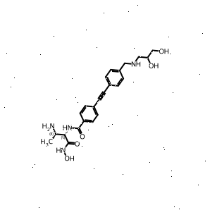 C[C@@H](N)[C@H](NC(=O)c1ccc(C#Cc2ccc(CNCC(O)CO)cc2)cc1)C(=O)NO